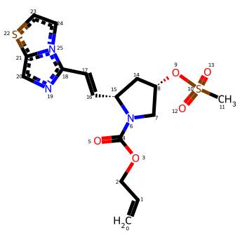 C=CCOC(=O)N1C[C@@H](OS(C)(=O)=O)C[C@H]1C=Cc1ncc2sccn12